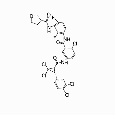 O=C(Nc1ccc(F)c(NC(=O)[C@H]2CCOC2)c1F)c1cc(NC(=O)[C@H]2[C@H](c3ccc(Cl)c(Cl)c3)C2(Cl)Cl)ccc1Cl